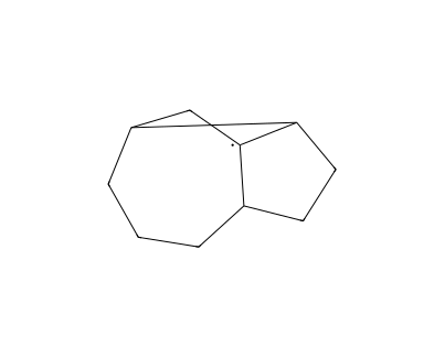 C1CC2CCC3[C]2CC3C1